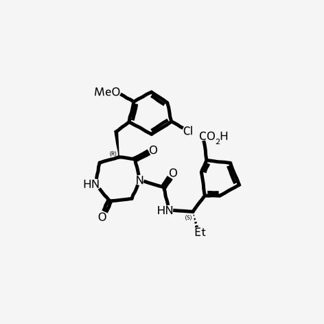 CC[C@H](NC(=O)N1CC(=O)NC[C@@H](Cc2cc(Cl)ccc2OC)C1=O)c1cccc(C(=O)O)c1